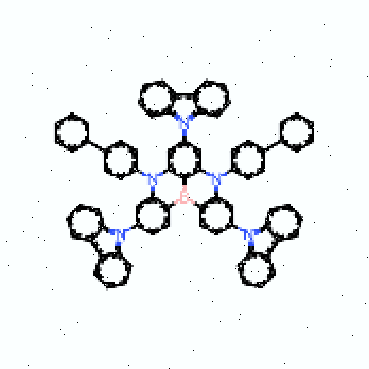 c1ccc(-c2ccc(N3c4cc(-n5c6ccccc6c6ccccc65)ccc4B4c5ccc(-n6c7ccccc7c7ccccc76)cc5N(c5ccc(-c6ccccc6)cc5)c5cc(-n6c7ccccc7c7ccccc76)cc3c54)cc2)cc1